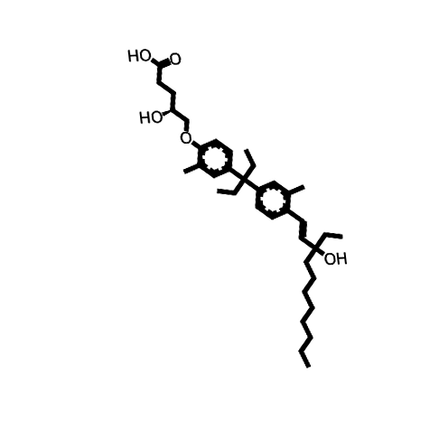 CCCCCCCCC(O)(C=Cc1ccc(C(CC)(CC)c2ccc(OC[C@@H](O)CCC(=O)O)c(C)c2)cc1C)CC